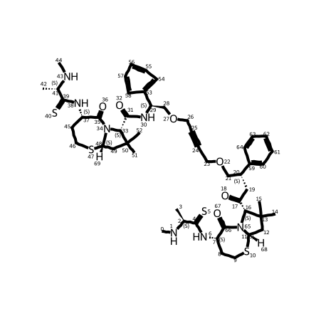 CN[C@@H](C)C(=S)N[C@H]1CCS[C@H]2CC(C)(C)[C@@H](C(=O)C[C@H](COCC#CCOC[C@@H](NC(=O)[C@H]3N4C(=O)[C@@H](NC(=S)[C@H](C)NC)CCS[C@H]4CC3(C)C)c3ccccc3)c3ccccc3)N2C1=O